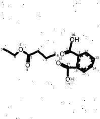 CCCC(=O)OCC.O=C(O)c1ccccc1C(=O)O